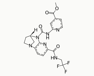 COC(=O)c1ccnc(NC(=O)N2c3nc(C(=O)NCC(F)(F)F)ccc3N3CC[C@H]2C3)c1